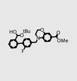 COC(=O)c1ccc2c(c1)OCCN2Cc1ccc(-c2ccccc2C(O)OC(C)(C)C)c(F)c1